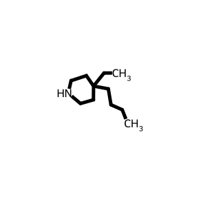 CCCCC1(CC)CCNCC1